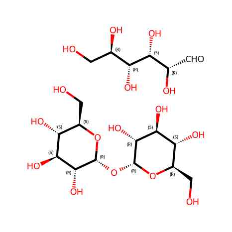 O=C[C@H](O)[C@@H](O)[C@H](O)[C@H](O)CO.OC[C@H]1O[C@H](O[C@H]2O[C@H](CO)[C@@H](O)[C@H](O)[C@H]2O)[C@H](O)[C@@H](O)[C@@H]1O